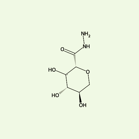 NNC(=O)[C@@H]1OC[C@@H](O)[C@H](O)[C]1O